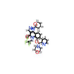 O=C(c1ncccc1-c1ccc2c3c(cnn3C3CCCCO3)c(=O)n(CC(F)(F)F)c2c1)N1CCOCC1